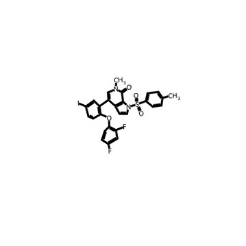 Cc1ccc(S(=O)(=O)n2ccc3c(-c4cc(I)ccc4Oc4ccc(F)cc4F)cn(C)c(=O)c32)cc1